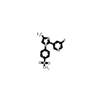 CS(=O)(=O)c1ccc(-n2cc(C(F)(F)F)nc2-c2cncc(F)c2)cc1